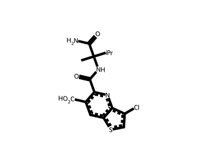 CC(C)C(C)(NC(=O)c1nc2c(Cl)csc2cc1C(=O)O)C(N)=O